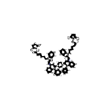 O=C(CCCCC[n+]1c(/C=C2\C=C(N3CCN(C4=C/C(=C\c5sc6ccccc6[n+]5CCCCCC(=O)ON5C(=O)C=CC5=O)c5ccccc5N4c4ccccc4)CC3)N(c3ccccc3)c3ccccc32)sc2ccccc21)ON1C(=O)C=CC1=O